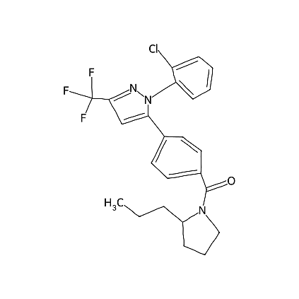 CCCC1CCCN1C(=O)c1ccc(-c2cc(C(F)(F)F)nn2-c2ccccc2Cl)cc1